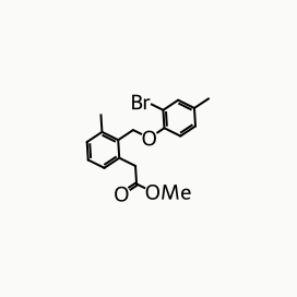 COC(=O)Cc1cccc(C)c1COc1ccc(C)cc1Br